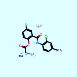 Br.CC[C@H](C)[C@H](N)C(=O)Oc1ccc(Cl)cc1C(=O)Nc1ccc([N+](=O)[O-])cc1Cl